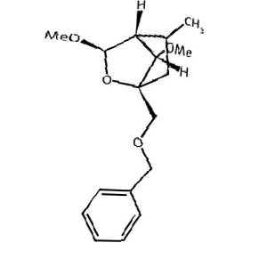 CO[C@@H]1O[C@@]2(COCc3ccccc3)CC(C)[C@@H]1[C@@H]2OC